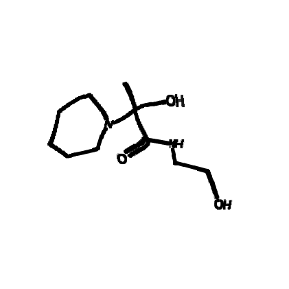 CC(O)(C(=O)NCCO)N1CCCCC1